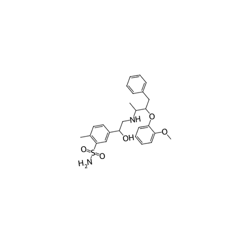 COc1ccccc1OC(Cc1ccccc1)C(C)NCC(O)c1ccc(C)c(S(N)(=O)=O)c1